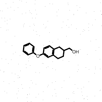 OCC1CCc2cc(Oc3ccccc3)ccc2C1